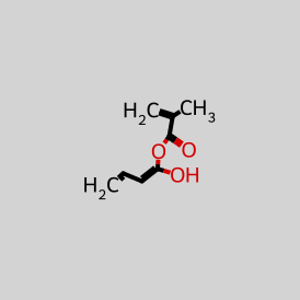 C=CC=C(O)OC(=O)C(=C)C